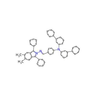 Cc1cc2c(-c3ccccc3)n(N=Cc3ccc(N(c4cccc(-c5ccccc5)c4)c4cccc(-c5ccccc5)c4)cc3)c(-c3ccccc3)c2cc1C